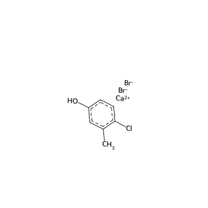 Cc1cc(O)ccc1Cl.[Br-].[Br-].[Ca+2]